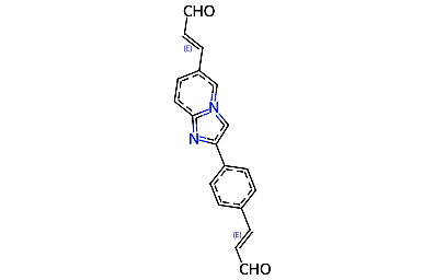 O=C/C=C/c1ccc(-c2cn3cc(/C=C/C=O)ccc3n2)cc1